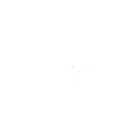 CCCCCCCCO[C](=O)[Sn][CH2]CCCCCCC